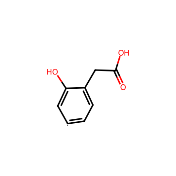 O=C(O)Cc1cc[c]cc1O